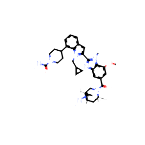 COc1cc(C(=O)N2C[C@H]3CC[C@@H]2C[C@@H]3N)cc2nc(-c3cc4cccc(C5CCN(C(N)=O)CC5)c4n3CC3CC3)n(C)c12